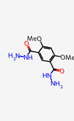 COc1cc(OC)c(C(=O)NN)cc1C(=O)NN